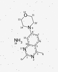 Cc1nc(C)c2ccc(N3CCOCC3)cc2n1.N